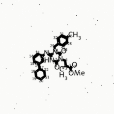 COC(=O)[C@@H](C)Cn1c(=O)[nH]/c(=N\c2cccc(C3CCCCC3)c2)n(Cc2ccc(C)cc2)c1=O